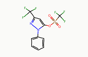 O=S(=O)(Oc1cc(C(F)(F)F)nn1-c1ccccc1)C(F)(F)F